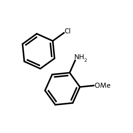 COc1ccccc1N.Clc1ccccc1